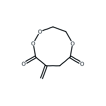 C=C1CC(=O)OCCOOC1=O